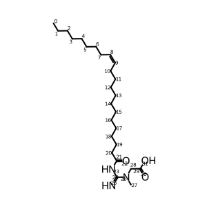 CCCCCCCC/C=C\CCCCCCCCCCCC(=O)NC(=N)N(C)CC(=O)O